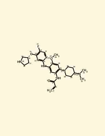 C=CC(=O)Nc1cc(Nc2ncc(F)c(O[C@@H]3CCNC3)n2)c(OC)cc1N1CCC(N(C)C)CC1